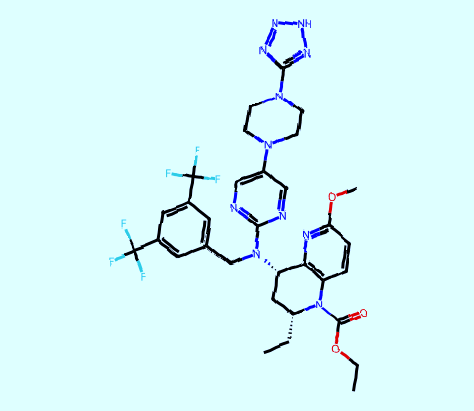 CCOC(=O)N1c2ccc(OC)nc2[C@@H](N(Cc2cc(C(F)(F)F)cc(C(F)(F)F)c2)c2ncc(N3CCN(c4nn[nH]n4)CC3)cn2)C[C@H]1CC